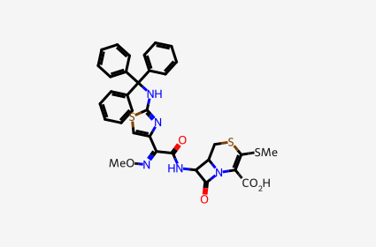 CON=C(C(=O)NC1C(=O)N2C(C(=O)O)=C(SC)SCC12)c1csc(NC(c2ccccc2)(c2ccccc2)c2ccccc2)n1